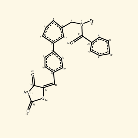 CCN(Cc1cccc(-c2ccc(C=C3SC(=O)NC3=O)cc2)c1)C(=O)c1ccccc1